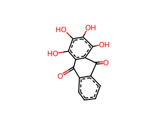 O=C1c2ccccc2C(=O)c2c(O)c(O)c(O)c(O)c21